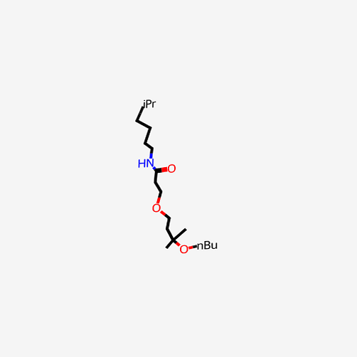 CCCCOC(C)(C)CCOCCC(=O)NCCCCC(C)C